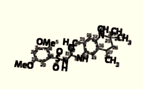 COc1ccc(OC)c(S(=O)(=O)NC(=O)Nc2cc3c(cc2C)N(C)C(C)(C)CC3C)c1